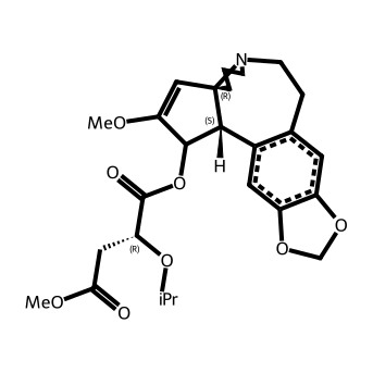 COC(=O)C[C@@H](OC(C)C)C(=O)OC1C(OC)=C[C@]23CCCN2CCc2cc4c(cc2[C@H]13)OCO4